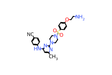 Cc1cc(Nc2ccc(C#N)cc2)nc(N2CCN(S(=O)(=O)c3ccc(OCCN)cc3)CC2)n1